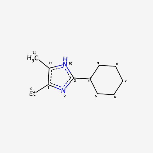 CCc1nc([C]2CCCCC2)[nH]c1C